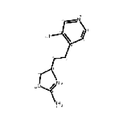 NC1=NC(CCc2ccncc2F)CO1